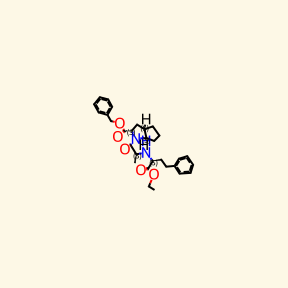 CCOC(=O)[C@H](CCc1ccccc1)N[C@@H](C)C(=O)N1[C@H](C(=O)OCc2ccccc2)C[C@@H]2CCC[C@@H]21